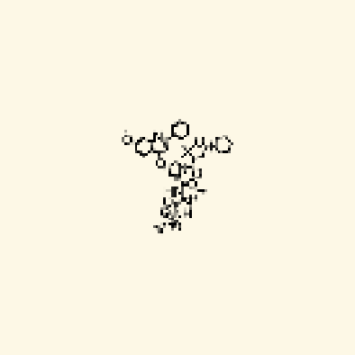 C=C[C@@H]1CC1(NC(=O)[C@H]1C[C@@H](Oc2cc(-c3ccccc3)nc3cc(OC)ccc23)CN1C(=O)C(CC(=O)N1CCCCC1)C(C)(C)C)C(=O)NS(=O)(=O)C1CC1